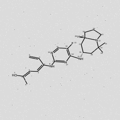 C=C/C(=C\C=C(/C)O)Nc1ncc(F)c(N[C@@H]2C[C@@H]3CCCN3C(C)(C)C2)n1